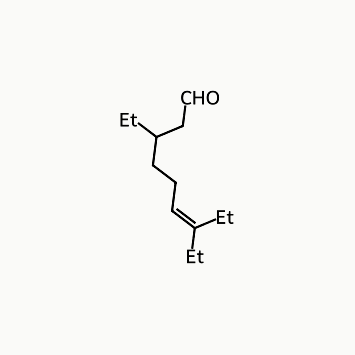 CCC(=CCCC(CC)CC=O)CC